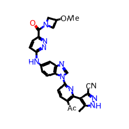 COC1CN(C(=O)c2ccc(Nc3ccc4c(c3)ncn4-c3ccc(C(C)=O)c(-c4c(C#N)n[nH]c4C)n3)nn2)C1